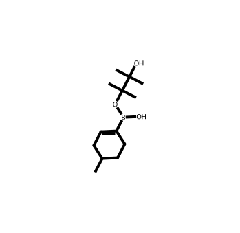 CC1CC=C(B(O)OC(C)(C)C(C)(C)O)CC1